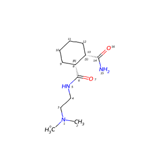 CN(C)CCNC(=O)[C@@H]1CCCC[C@@H]1C(N)=O